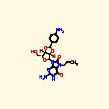 C=CCn1c(=O)n(C2O[C@H](CO)[C@H]3OC(c4ccc(N)cc4)O[C@@H]23)c2nc(N)[nH]c(=O)c21